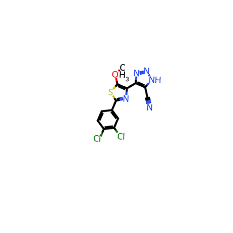 COc1sc(-c2ccc(Cl)c(Cl)c2)nc1-c1nn[nH]c1C#N